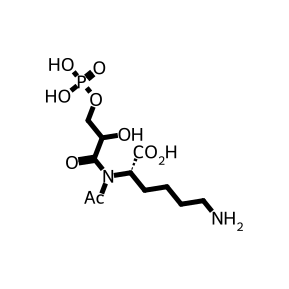 CC(=O)N(C(=O)C(O)COP(=O)(O)O)[C@@H](CCCCN)C(=O)O